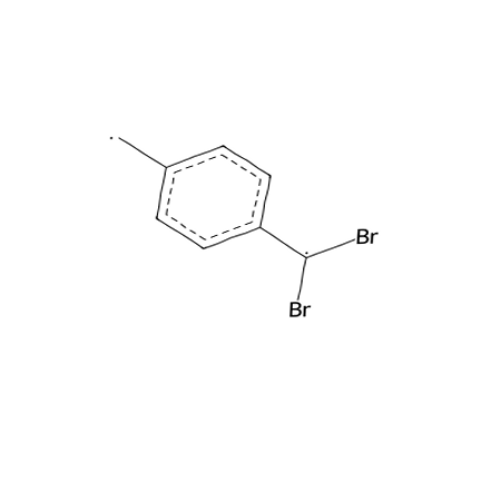 [CH2]c1ccc([C](Br)Br)cc1